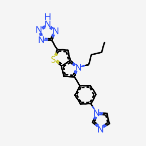 CCCCn1c(-c2ccc(-n3ccnc3)cc2)cc2sc(-c3nn[nH]n3)cc21